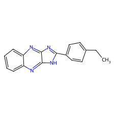 CCc1ccc(-c2nc3nc4ccccc4nc3[nH]2)cc1